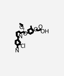 CCOC[C@H](Oc1ccc(OCC(=O)O)c(C)c1)c1cccc(-c2ccc(C#N)c(Cl)c2)n1